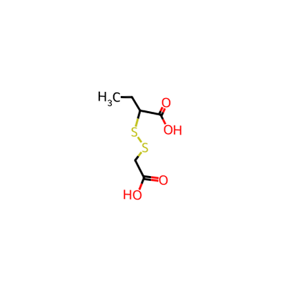 CCC(SSCC(=O)O)C(=O)O